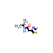 CC(C)NC(=O)Cc1cscn1